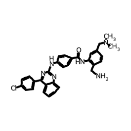 CN(C)Cc1ccc(CN)c(NC(=O)c2ccc(Nc3nc(-c4ccc(Cl)cc4)c4ccccc4n3)cc2)c1